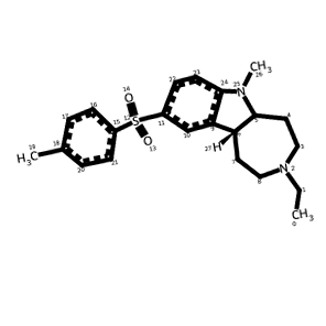 CCN1CCC2[C@H](CC1)c1cc(S(=O)(=O)c3ccc(C)cc3)ccc1N2C